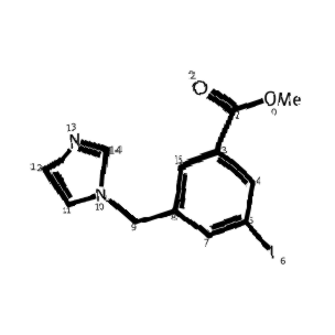 COC(=O)c1cc(I)cc(Cn2ccnc2)c1